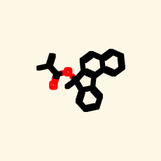 C=C(C)C(=O)OC1(C)c2ccccc2-c2c1ccc1ccccc21